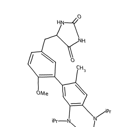 COc1ccc(CC2NC(=O)NC2=O)cc1-c1cc2c(cc1C)N(C(C)C)CCN2C(C)C